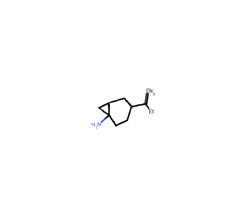 C=C(CC)C1CCC2(N)CC2C1